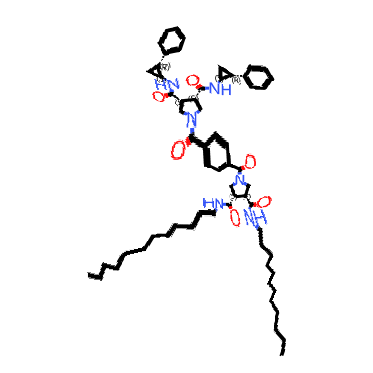 CCCCCCCCCCCCNC(=O)[C@@H]1CN(C(=O)c2ccc(C(=O)N3C[C@@H](C(=O)N[C@H]4C[C@@H]4c4ccccc4)[C@H](C(=O)N[C@H]4C[C@@H]4c4ccccc4)C3)cc2)C[C@H]1C(=O)NCCCCCCCCCCCC